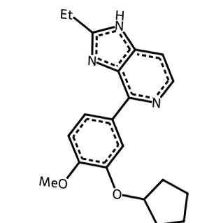 CCc1nc2c(-c3ccc(OC)c(OC4CCCC4)c3)nccc2[nH]1